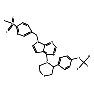 CS(=O)(=O)c1ccc(Cn2ccc3c(N4CCOCC4c4ccc(OC(F)(F)F)cc4)ncnc32)cn1